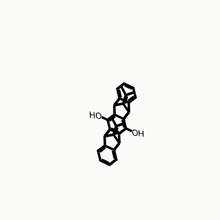 CC(C)=C1C2c3ccccc3C1c1c(O)c3c(c(O)c12)C1C(=C(C)C)C3c2ccccc21